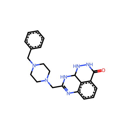 O=C1NNC2NC(CN3CCN(Cc4ccccc4)CC3)=Nc3cccc1c32